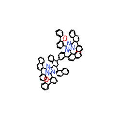 c1ccc(-c2ccc3ccccc3c2-c2nc(-c3c(-c4cccc(-c5cc(-c6cccc7ccccc67)c(-c6nc(-c7c(-c8ccccc8)ccc8ccccc78)nc(-c7cccc8c7oc7ccccc78)n6)c6ccccc56)c4)ccc4ccccc34)nc(-c3cccc4c3oc3ccccc34)n2)cc1